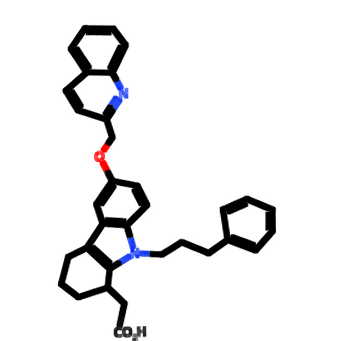 O=C(O)CC1CCCc2c1n(CCCc1ccccc1)c1ccc(OCc3ccc4ccccc4n3)cc21